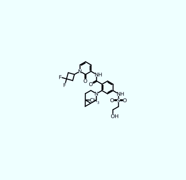 CC12CCN(c3cc(NS(=O)(=O)CCO)ccc3C(=O)Nc3cccn(C4CC(F)(F)C4)c3=O)CC1C2